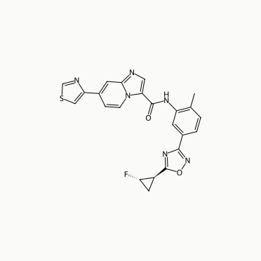 Cc1ccc(-c2noc([C@H]3C[C@@H]3F)n2)cc1NC(=O)c1cnc2cc(-c3cscn3)ccn12